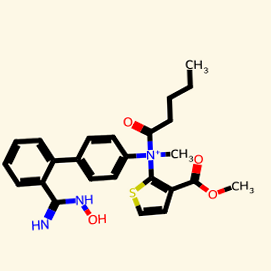 CCCCC(=O)[N+](C)(c1ccc(-c2ccccc2C(=N)NO)cc1)c1sccc1C(=O)OC